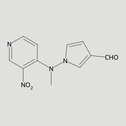 CN(c1ccncc1[N+](=O)[O-])n1ccc(C=O)c1